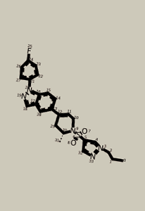 CCCn1cc(S(=O)(=O)N2CC=C(c3ccc4c(cnn4-c4ccc(F)cc4)c3)C[C@H]2C)cn1